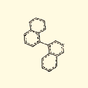 [c]1cc(-c2cccc3ccccc23)c2ccccc2c1